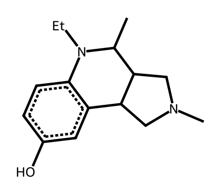 CCN1c2ccc(O)cc2C2CN(C)CC2C1C